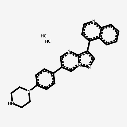 Cl.Cl.c1ccc2c(-c3cnn4cc(-c5ccc(N6CCNCC6)cc5)cnc34)ccnc2c1